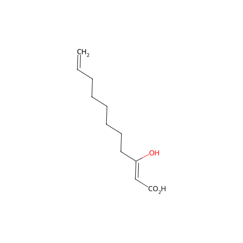 C=CCCCCCCC(O)=CC(=O)O